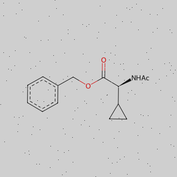 CC(=O)N[C@H](C(=O)OCc1ccccc1)C1CC1